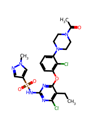 CCc1c(Cl)nc(NS(=O)(=O)c2cnn(C)c2)nc1Oc1cccc(N2CCN(C(C)=O)CC2)c1Cl